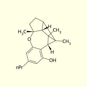 CCCc1cc(O)c2c(c1)O[C@]1(C)CCC3[C@@H]1C1(C)[C@@H]2C31C